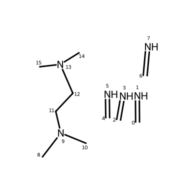 C=N.C=N.C=N.C=N.CN(C)CCN(C)C